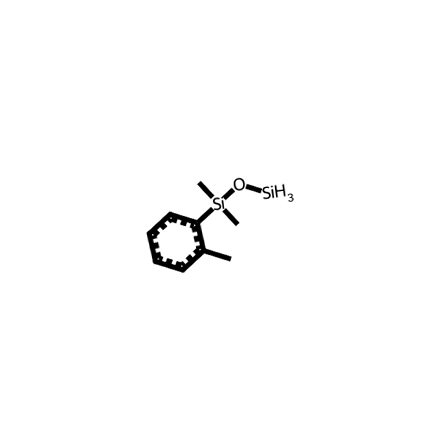 Cc1ccccc1[Si](C)(C)O[SiH3]